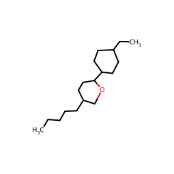 CCCCCC1CCC(C2CCC(CC)CC2)OC1